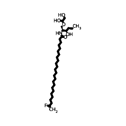 C=C(F)CCCCCCCCCCCCCCCCCCCCCCC(=O)N[C@@H](COC(O)CO)[C@H](O)CCC